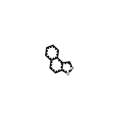 c1ccc2c(c1)ccc1opcc12